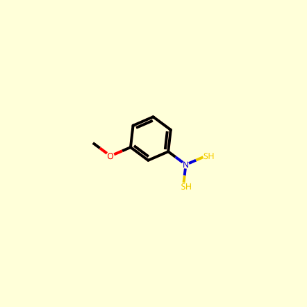 COc1cccc(N(S)S)c1